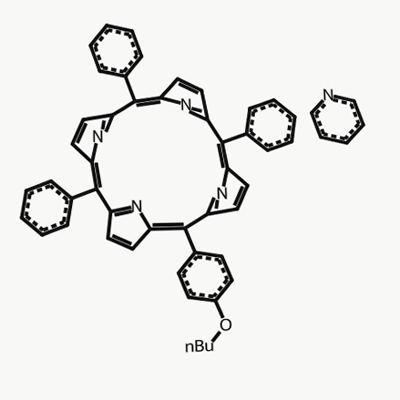 CCCCOc1ccc(C2=C3C=CC(=N3)C(c3ccccc3)=C3C=CC(=N3)C(c3ccccc3)=C3C=CC(=N3)C(c3ccccc3)=C3C=CC2=N3)cc1.c1ccncc1